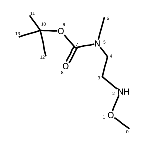 CONCCN(C)C(=O)OC(C)(C)C